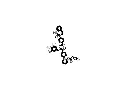 COC(=O)O[C@H]1CCCCN1C1CCN(C(=O)[C@@H](Cc2cc(Br)c(O)c(Br)c2)OC(=O)N2CCC(N3CCc4ccccc4NC3=O)CC2)CC1